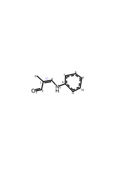 C/C(C=O)=C/Nc1ccccc1